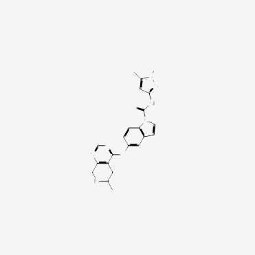 Cc1cc(NC(=O)n2ccc3cc(Oc4ncnc5c4CC(C)NC5)ccc32)nn1C(C)(C)C